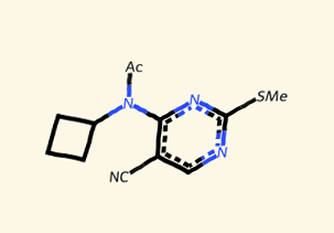 CSc1ncc(C#N)c(N(C(C)=O)C2CCC2)n1